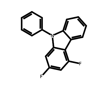 Fc1cc(F)c2c3ccccc3n(-c3ccccc3)c2c1